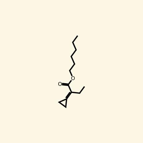 CCCCCCOC(=O)C(CC)=C1CC1